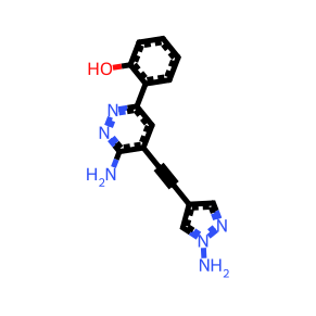 Nc1nnc(-c2ccccc2O)cc1C#Cc1cnn(N)c1